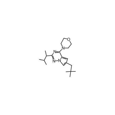 CC(C)C(C)c1nc(N2CCOCC2)c2cc(CC(C)(C)C)cn2n1